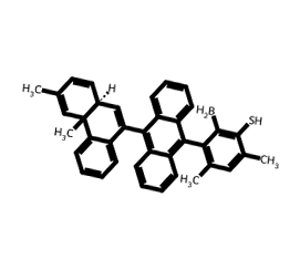 Bc1c(S)c(C)cc(C)c1-c1c2ccccc2c(C2=C[C@@H]3C=CC(C)=CC3(C)c3ccccc32)c2ccccc12